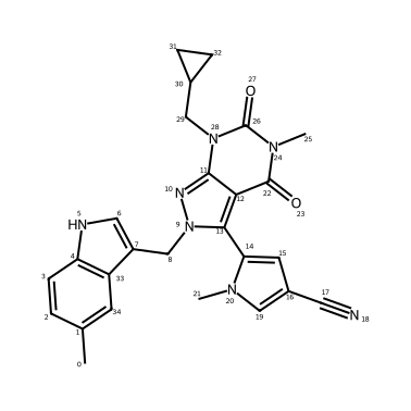 Cc1ccc2[nH]cc(Cn3nc4c(c3-c3cc(C#N)cn3C)c(=O)n(C)c(=O)n4CC3CC3)c2c1